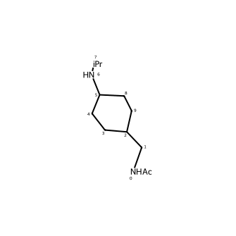 CC(=O)NCC1CCC(NC(C)C)CC1